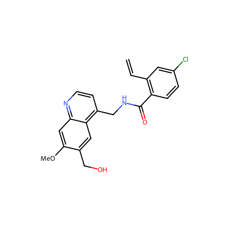 C=Cc1cc(Cl)ccc1C(=O)NCc1ccnc2cc(OC)c(CO)cc12